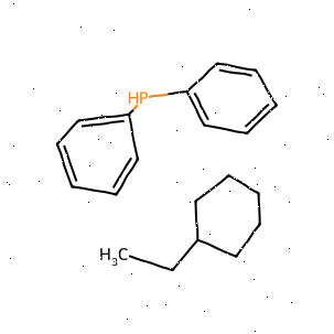 CCC1CCCCC1.c1ccc(Pc2ccccc2)cc1